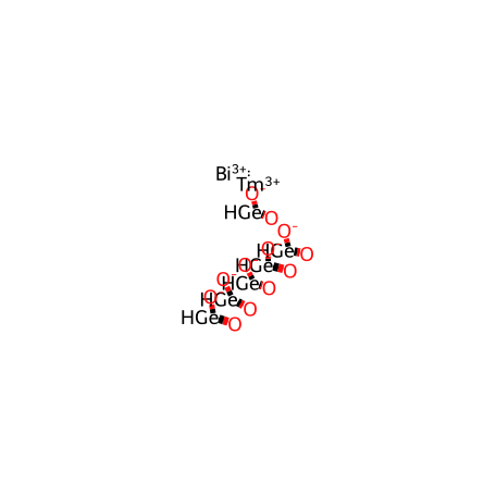 [Bi+3].[O]=[GeH][O-].[O]=[GeH][O-].[O]=[GeH][O-].[O]=[GeH][O-].[O]=[GeH][O-].[O]=[GeH][O-].[Tm+3]